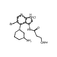 COCCC(=O)Nc1c[nH]c2ncc(Br)c(N3CCCC(N)C3)c12.Cl